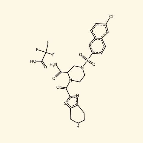 NC(=O)C1CN(S(=O)(=O)c2ccc3cc(Cl)ccc3c2)CCN1C(=O)c1nc2c(s1)CNCC2.O=C(O)C(F)(F)F